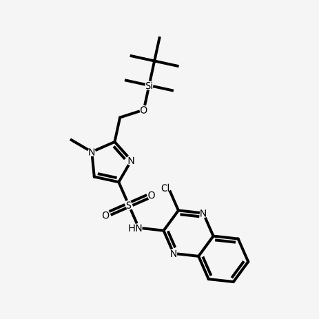 Cn1cc(S(=O)(=O)Nc2nc3ccccc3nc2Cl)nc1CO[Si](C)(C)C(C)(C)C